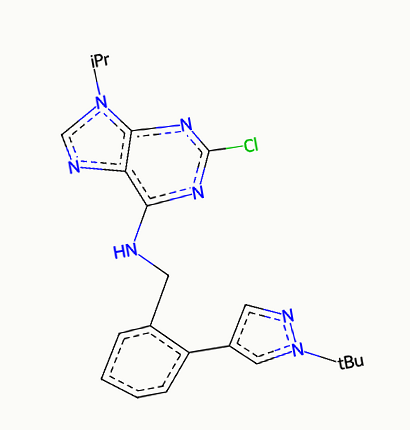 CC(C)n1cnc2c(NCc3ccccc3-c3cnn(C(C)(C)C)c3)nc(Cl)nc21